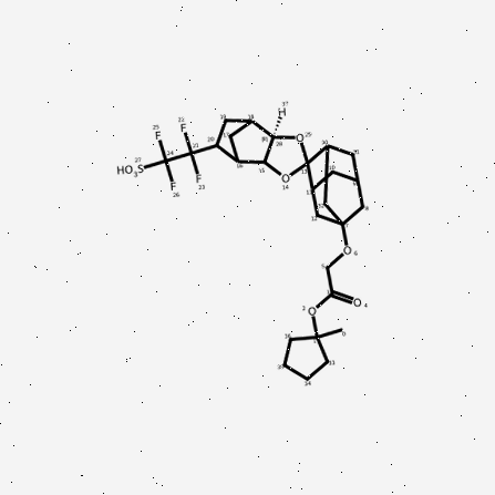 CC1(OC(=O)COC23CC4CC(C2)C2(OC5C6CC(CC6C(F)(F)C(F)(F)S(=O)(=O)O)[C@H]5O2)C(C4)C3)CCCC1